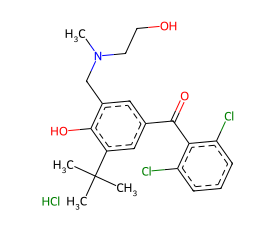 CN(CCO)Cc1cc(C(=O)c2c(Cl)cccc2Cl)cc(C(C)(C)C)c1O.Cl